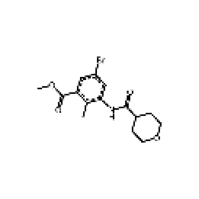 COC(=O)c1cc(Br)cc(NC(=O)C2CCOCC2)c1C